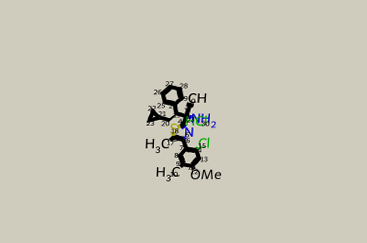 C#CC(N)(c1nc(-c2cc(C)c(OC)cc2Cl)c(C)s1)[C@@H](CC1CC1)c1ccccc1.Cl